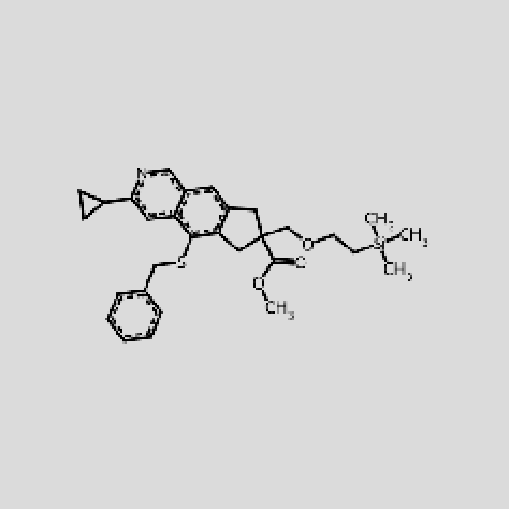 COC(=O)C1(COCC[Si](C)(C)C)Cc2cc3cnc(C4CC4)cc3c(SCc3ccccc3)c2C1